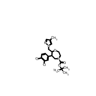 Cc1cnn(CC2OCCN(C(=O)OC(C)(C)C)CC2c2ccc(Cl)c(Cl)c2)c1